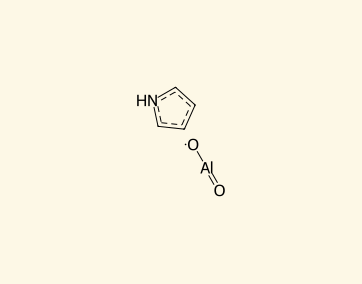 [O][Al]=[O].c1cc[nH]c1